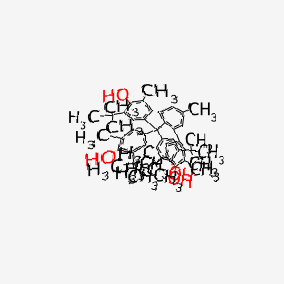 Cc1ccc(C(c2cc(C)c(O)c(C(C)(C)C)c2)(c2cc(C)c(O)c(C(C)(C)C)c2)c2cc(C)c(O)c(C(C)(C)C)c2)c(-c2cc(C)c(O)c(C(C)(C)C)c2)c1